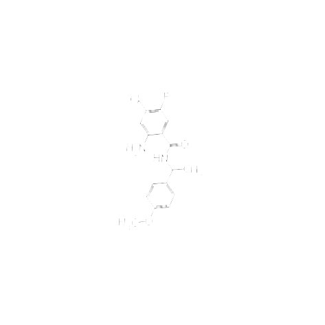 COc1ccc(C(C)NC(=O)c2cc(F)c(Cl)cc2N)cc1